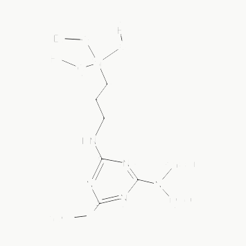 CCCCCCCCSc1nc(NCCC[Si](OCC)(OCC)OCC)nc(N(CCCCCCCC)CCCCCCCC)n1